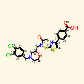 CC(=O)N(C[C@@H]1CN(Cc2ccc(Cl)c(Cl)c2)CCO1)Sc1nc(-c2ccc(C(=O)O)cc2)cs1